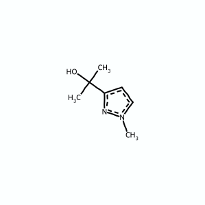 Cn1ccc(C(C)(C)O)n1